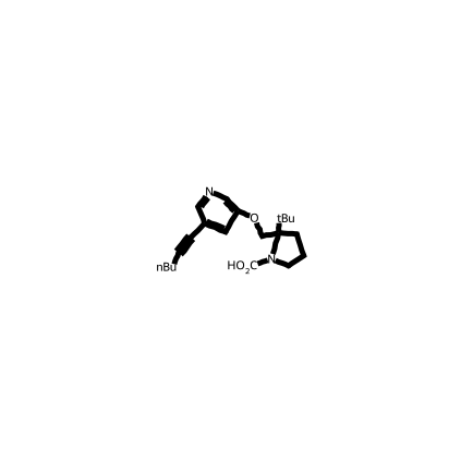 CCCCC#Cc1cncc(OCC2(C(C)(C)C)CCCN2C(=O)O)c1